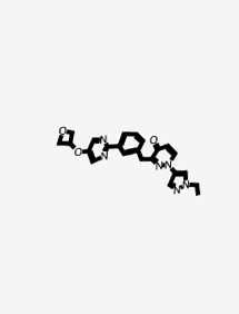 CCn1cc(-n2ccc(=O)c(Cc3cccc(-c4ncc(OC5COC5)cn4)c3)n2)cn1